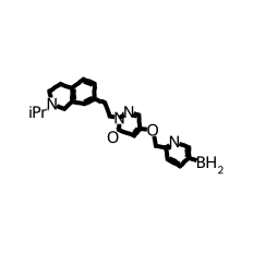 Bc1ccc(COc2cnn(CCc3ccc4c(c3)CN(C(C)C)CC4)c(=O)c2)nc1